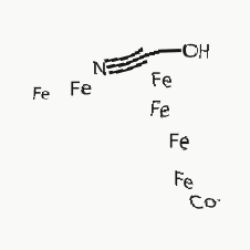 N#CO.[Co].[Fe].[Fe].[Fe].[Fe].[Fe].[Fe]